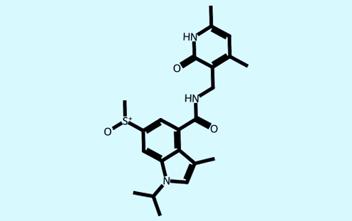 Cc1cc(C)c(CNC(=O)c2cc([S+](C)[O-])cc3c2c(C)cn3C(C)C)c(=O)[nH]1